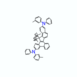 Cc1cccc(N(c2ccccc2)c2ccc3c4c(ccc3c2)-c2c(c3ccc(N(c5ccccc5)c5cccc(C)c5)cc3c3ccccc23)C4([Si](C)(C)C)[Si](C)(C)C)c1